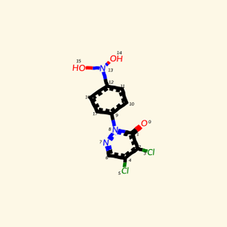 O=c1c(Cl)c(Cl)cnn1-c1ccc(N(O)O)cc1